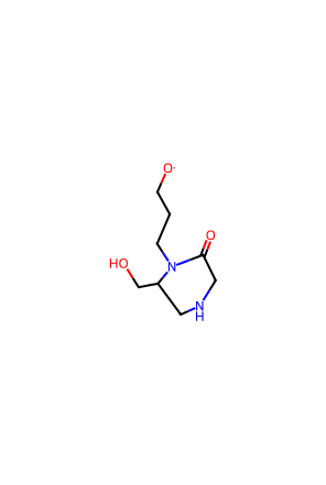 [O]CCCN1C(=O)CNCC1CO